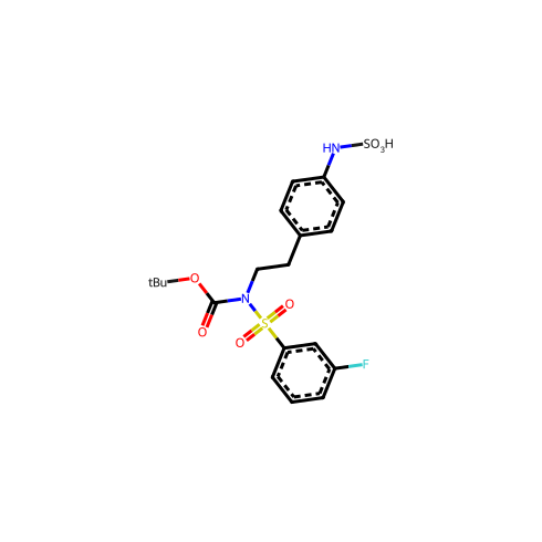 CC(C)(C)OC(=O)N(CCc1ccc(NS(=O)(=O)O)cc1)S(=O)(=O)c1cccc(F)c1